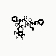 C=CCN(C(=O)NCc1ccccc1)N1CCN(Cc2c(F)c(F)c(I)c(I)c2F)C(=O)[C@H](c2ccccc2)NC(=O)C1